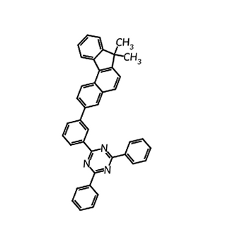 CC1(C)c2ccccc2-c2c1ccc1cc(-c3cccc(-c4nc(-c5ccccc5)nc(-c5ccccc5)n4)c3)ccc21